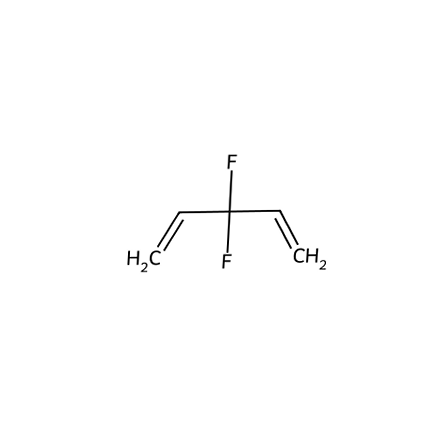 C=CC(F)(F)C=C